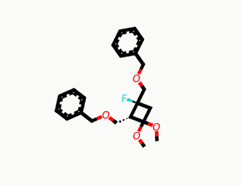 COC1(OC)C[C@@](F)(COCc2ccccc2)[C@H]1COCc1ccccc1